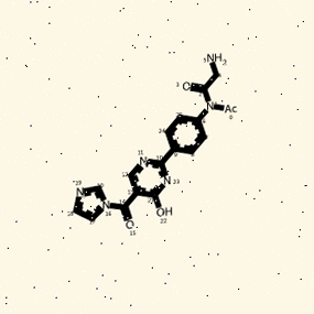 CC(=O)N(C(=O)CN)c1ccc(-c2ncc(C(=O)n3ccnc3)c(O)n2)cc1